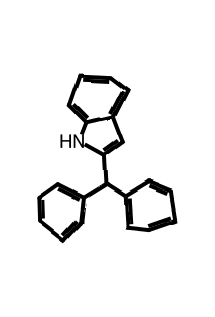 c1ccc(C(c2ccccc2)c2cc3ccccc3[nH]2)cc1